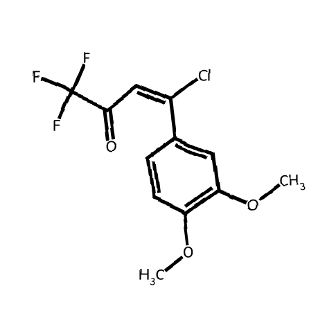 COc1ccc(/C(Cl)=C\C(=O)C(F)(F)F)cc1OC